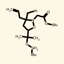 C=CCC1(CC(C)C)CC(C(C)(C)O[SiH2]C(C)(C)C)ON1CC(=O)OC(C)(C)C